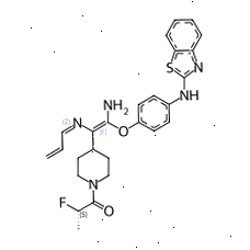 C=C/C=N\C(=C(/N)Oc1ccc(Nc2nc3ccccc3s2)cc1)C1CCN(C(=O)[C@H](C)F)CC1